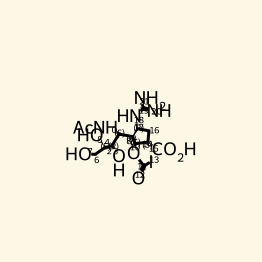 CC(=O)N[C@H]([C@@H](O)[C@@H](O)CO)[C@@H]1[C@H](OC(=O)I)[C@@H](C(=O)O)C[C@H]1NC(=N)N